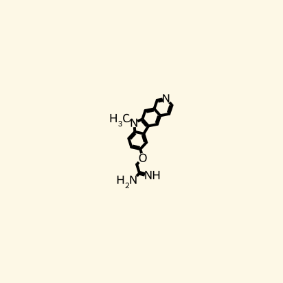 Cn1c2ccc(OCC(=N)N)cc2c2cc3ccncc3cc21